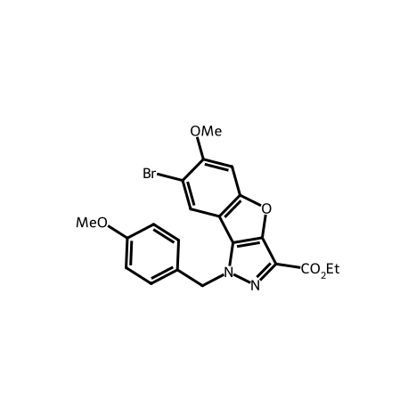 CCOC(=O)c1nn(Cc2ccc(OC)cc2)c2c1oc1cc(OC)c(Br)cc12